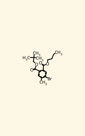 CCCCOC(=O)c1cc(Br)c(C)cc1C(=O)OCC(C)(C)C